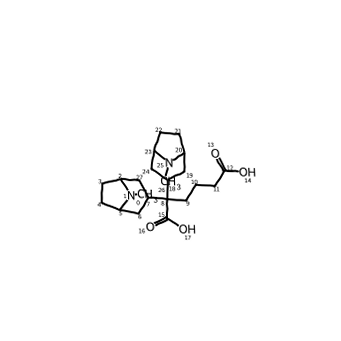 CN1C2CCC1CC(C(CCCC(=O)O)(C(=O)O)C1CC3CCC(C1)N3C)C2